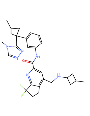 CC1CC(NCc2cc(C(=O)Nc3cccc(C4(c5nncn5C)CC(C)C4)c3)nc3c2CCC3(F)F)C1